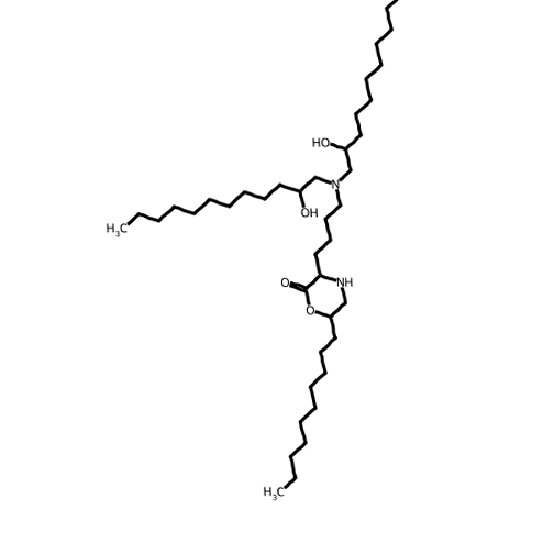 CCCCCCCCCCC(O)CN(CCCCC1NCC(CCCCCCCCCC)OC1=O)CC(O)CCCCCCCCCC